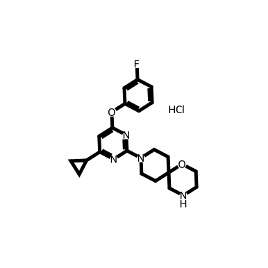 Cl.Fc1cccc(Oc2cc(C3CC3)nc(N3CCC4(CC3)CNCCO4)n2)c1